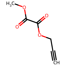 C#CCOC(=O)C(=O)OC